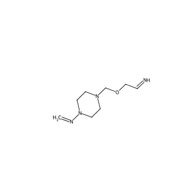 C=NN1CCN(COCC=N)CC1